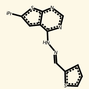 CC(C)c1cc2c(N/N=C/c3cccs3)ncnc2s1